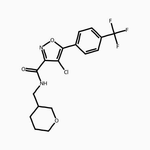 O=C(NCC1CCCOC1)c1noc(-c2ccc(C(F)(F)F)cc2)c1Cl